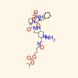 CC(C)OC(=O)OCCCC(=O)N=CC1CC(CNC(=O)[C@@H]2CCCN2C(=O)[C@@H](Cc2ccccc2)NS(C)(=O)=O)CCN1N